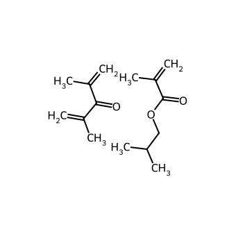 C=C(C)C(=O)C(=C)C.C=C(C)C(=O)OCC(C)C